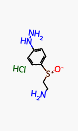 Cl.NCC[S+]([O-])c1ccc(NN)cc1